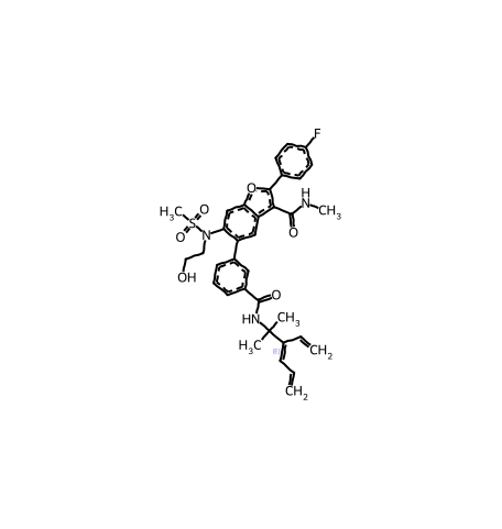 C=C/C=C(\C=C)C(C)(C)NC(=O)c1cccc(-c2cc3c(C(=O)NC)c(-c4ccc(F)cc4)oc3cc2N(CCO)S(C)(=O)=O)c1